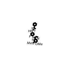 COc1cc2nccc(Nc3ccc(Nc4nc(-c5ccccc5)cs4)cc3F)c2cc1OC